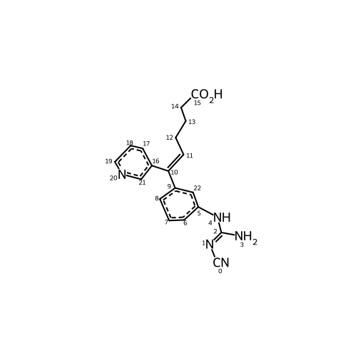 N#CN=C(N)Nc1cccc(C(=CCCCC(=O)O)c2cccnc2)c1